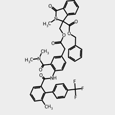 Cc1cccc(C(=O)Nc2ccc(CC(=O)OCC3(C(=O)OCc4ccccc4)c4ccccc4C(=O)N3C)cc2C(=O)N(C)C)c1-c1ccc(C(F)(F)F)cc1